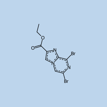 CCOC(=O)c1cn2cc(Br)nc(Br)c2n1